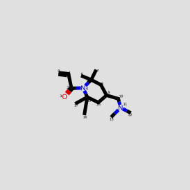 C=CC(=O)N1C(C)(C)CC(CN(C)C)CC1(C)C